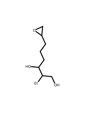 CCC(CO)C(O)CCCC1CO1